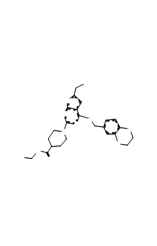 CCOC(=O)C1CCN(c2nc(NCc3ccc4c(c3)OCCO4)c3cc(CC)sc3n2)CC1